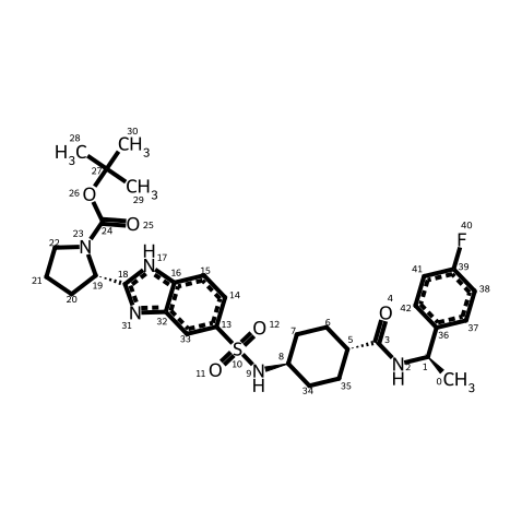 C[C@@H](NC(=O)[C@H]1CC[C@H](NS(=O)(=O)c2ccc3[nH]c([C@@H]4CCCN4C(=O)OC(C)(C)C)nc3c2)CC1)c1ccc(F)cc1